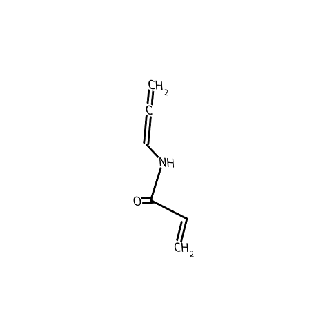 C=C=CNC(=O)C=C